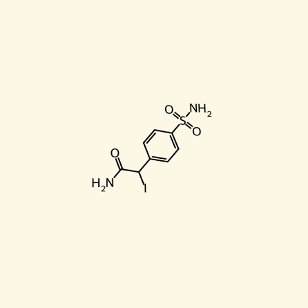 NC(=O)C(I)c1ccc(S(N)(=O)=O)cc1